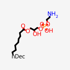 CCCCCCCCCCCCCCCCCC(=O)OCC(O)COP(=O)(O)OCCN